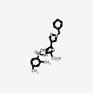 COP(=O)(Nc1cc(-c2cnn(Cc3ccccc3)c2)sc1C(=O)O)c1ccc(C)cc1C